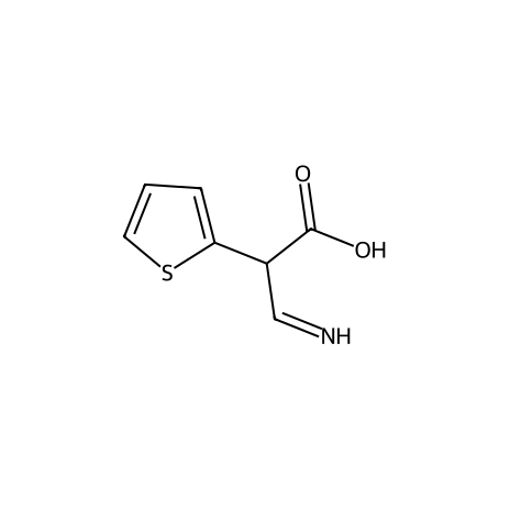 N=CC(C(=O)O)c1cccs1